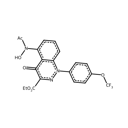 CCOC(=O)c1nn(-c2ccc(OC(F)(F)F)cc2)c2cccc(N(O)C(C)=O)c2c1=O